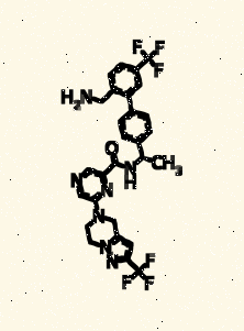 C[C@@H](NC(=O)c1cncc(N2CCn3nc(C(F)(F)F)cc3C2)n1)c1ccc(-c2cc(C(F)(F)F)ccc2CN)cc1